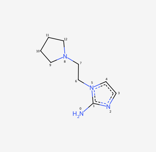 Nc1nccn1CCN1CCCC1